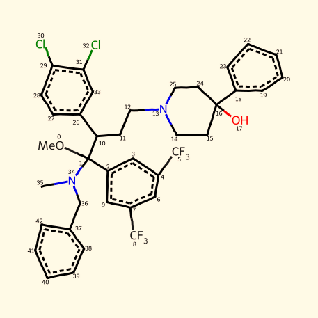 COC(c1cc(C(F)(F)F)cc(C(F)(F)F)c1)(C(CCN1CCC(O)(c2ccccc2)CC1)c1ccc(Cl)c(Cl)c1)N(C)Cc1ccccc1